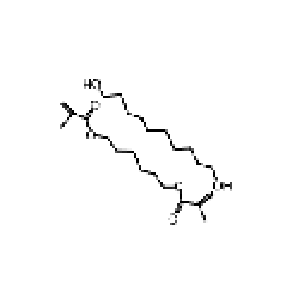 C=C(C)C(=O)OCCCCCCOC(=O)C(=C)C.OCCCCCCCCCCO